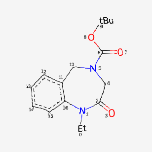 CCN1C(=O)CN(C(=O)OC(C)(C)C)Cc2ccccc21